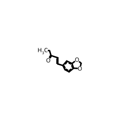 CCC(=O)C=Cc1ccc2c(c1)OCO2